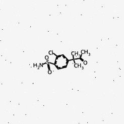 CC(=O)C(C)(C)c1ccc(S(N)(=O)=O)c(Cl)c1